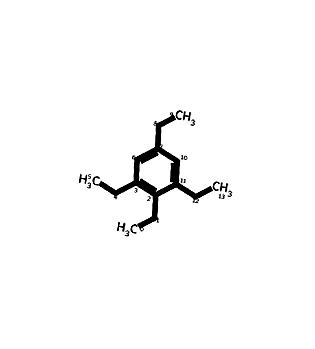 C[CH]c1c(CC)cc(CC)cc1CC